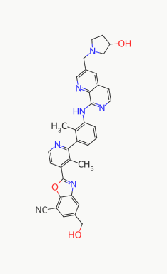 Cc1c(Nc2nccc3cc(CN4CCC(O)C4)cnc23)cccc1-c1nccc(-c2nc3cc(CO)cc(C#N)c3o2)c1C